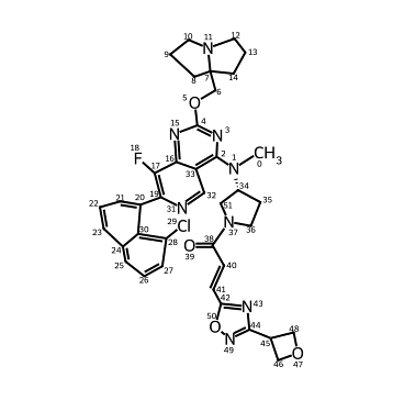 CN(c1nc(OCC23CCCN2CCC3)nc2c(F)c(-c3cccc4cccc(Cl)c34)ncc12)[C@@H]1CCN(C(=O)/C=C/c2nc(C3COC3)no2)C1